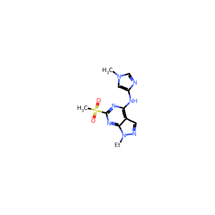 CCn1ncc2c(Nc3cn(C)cn3)nc(S(C)(=O)=O)nc21